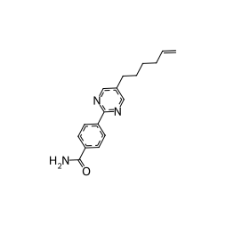 C=CCCCCc1cnc(-c2ccc(C(N)=O)cc2)nc1